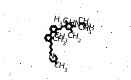 C=Cc1cc(CCc2cccc(-c3cccc(CCCCN4CCC(C)CC4)c3C)c2C)c(C)cc1CNC(C)(C)CO